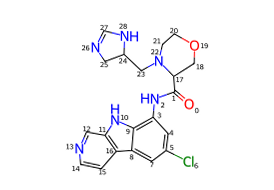 O=C(Nc1cc(Cl)cc2c1[nH]c1cnccc12)C1COCCN1CC1CN=CN1